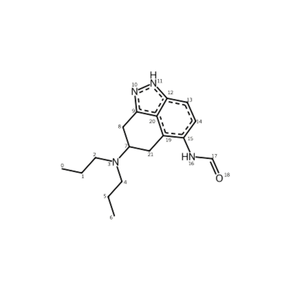 CCCN(CCC)C1Cc2n[nH]c3ccc(NC=O)c(c23)C1